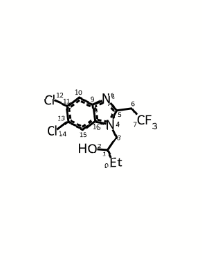 CCC(O)Cn1c(CC(F)(F)F)nc2cc(Cl)c(Cl)cc21